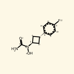 NC(=O)N(O)[C@H]1C[C@H](c2ccc(F)cc2)C1